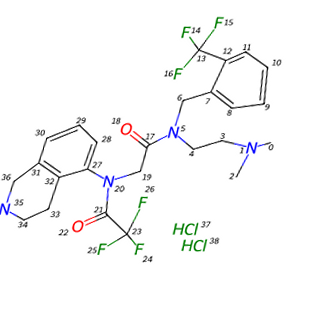 CN(C)CCN(Cc1ccccc1C(F)(F)F)C(=O)CN(C(=O)C(F)(F)F)c1cccc2c1CCNC2.Cl.Cl